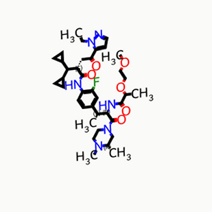 CCn1nccc1C(=O)C[C@H](C(=O)Nc1ccc([C@H](C)[C@@H](NC(=O)C(C)OCCOC)C(=O)N2CCN(C)[C@H](C)C2)cc1F)C(C1CC1)C1CC1